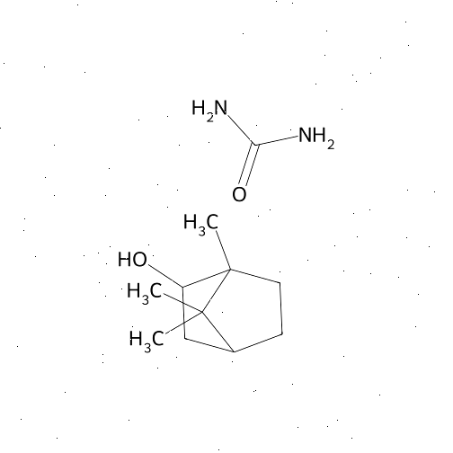 CC1(C)C2CCC1(C)C(O)C2.NC(N)=O